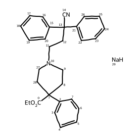 CCOC(=O)C1(c2ccccc2)CCN(CCC(C#N)(c2ccccc2)c2ccccc2)CC1.[NaH]